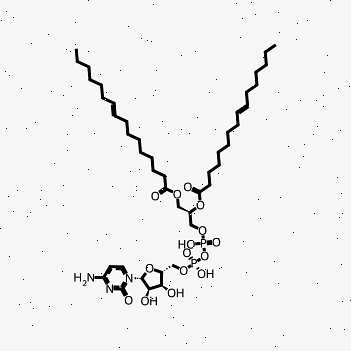 CCCCCCC=CCCCCCCCC(=O)OC[C@H](COP(=O)(O)OP(=O)(O)OC[C@H]1O[C@@H](n2ccc(N)nc2=O)[C@H](O)[C@@H]1O)OC(=O)CCCCCCCC=CCCCCCC